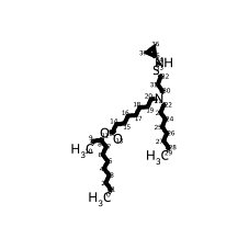 CCCCCCCCC(CC)OC(=O)CCCCCCCN(CCCCCCCC)CCCSNC1CC1